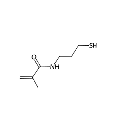 C=C(C)C(=O)NCCCS